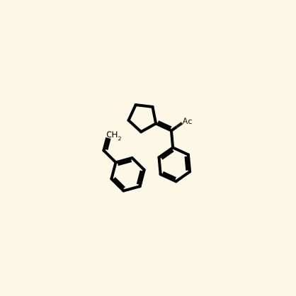 C=Cc1ccccc1.CC(=O)C(=C1CCCC1)c1ccccc1